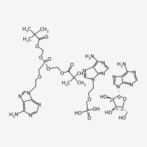 CC(C)(C)C(=O)OCOP(=O)(COCCn1cnc2c(N)ncnc21)OCOC(=O)C(C)(C)C.Nc1ncnc2c1ncn2CCOCP(=O)(O)O.Nc1ncnc2c1ncn2[C@@H]1O[C@H](CO)[C@@H](O)[C@H]1O